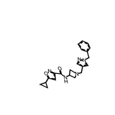 O=C(NC1CN(Cc2cnn(Cc3ccccc3)c2)C1)c1cc(C2CC2)on1